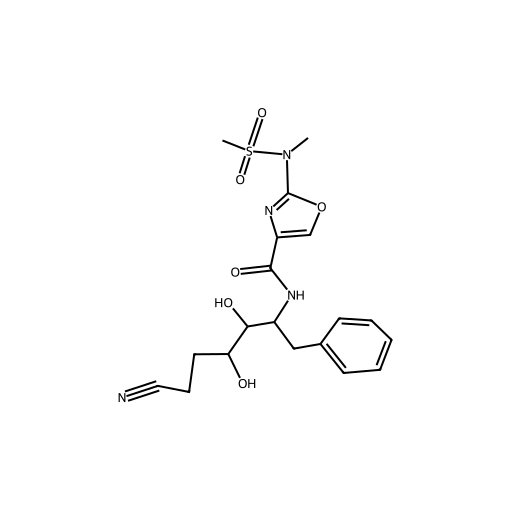 CN(c1nc(C(=O)NC(Cc2ccccc2)C(O)C(O)CCC#N)co1)S(C)(=O)=O